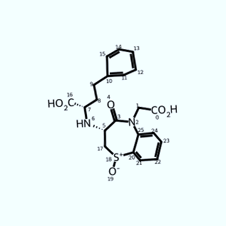 O=C(O)CN1C(=O)[C@@H](N[C@@H](CCc2ccccc2)C(=O)O)C[S+]([O-])c2ccccc21